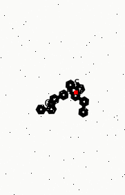 c1ccc(-c2cccc(-c3ccc(N(c4ccc(-c5ccc6oc7c(-c8ccccc8)cccc7c6c5)cc4)c4cccc5sc6ccccc6c45)cc3)c2)cc1